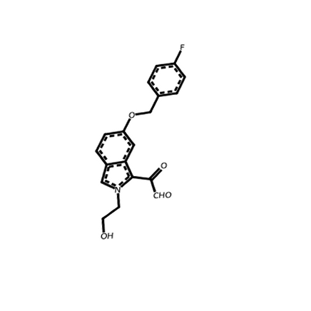 O=CC(=O)c1c2cc(OCc3ccc(F)cc3)ccc2cn1CCO